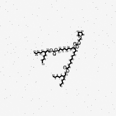 CCCCCC(CCCCC)CCOC(=O)CCCCCCCCCC(CCCCCCCCOC(=O)OCCC(CCCCC)CCCCC)OC(=O)OCCN1CCCC1